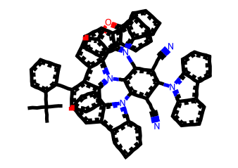 CC(C)(C)c1ccccc1-c1cccc2c1c1ccc3oc4ccccc4c3c1n2-c1c(-n2c3ccccc3c3ccccc32)c(C#N)c(-n2c3ccccc3c3ccccc32)c(C#N)c1-n1c2ccccc2c2ccccc21